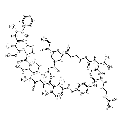 C=CC(=O)N1CN(C(=O)C=C)CN(C(=O)CCSCC(=O)NC(C(=O)NC(CCCNC(N)=O)C(=O)Nc2ccc(COC(=O)N(C)C(C(=O)NCC(=O)N(C)[C@@H]([C@@H](C)CC)[C@@H](CC(=O)N3CCC[C@H]3[C@H](OC)[C@@H](C)C(=O)N[C@H](C)[C@@H](O)c3ccccc3)OC)C(C)C)cc2)C(C)C)C1